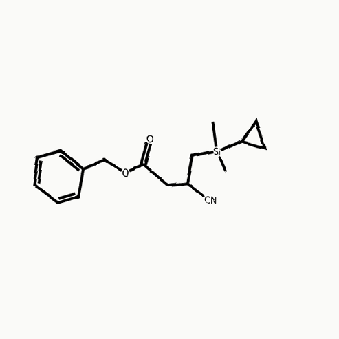 C[Si](C)(CC(C#N)CC(=O)OCc1ccccc1)C1CC1